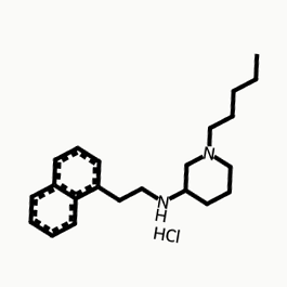 CCCCCN1CCCC(NCCc2cccc3ccccc23)C1.Cl